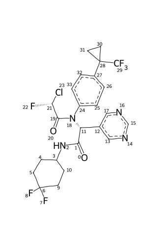 O=C(NC1CCC(F)(F)CC1)[C@@H](c1cncnc1)N(C(=O)[C@H](F)Cl)c1ccc(C2(C(F)(F)F)CC2)cc1